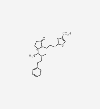 CC(CCc1ccccc1)C(N)[C@H]1CCC(=O)N1CCSc1nc(C(=O)O)cs1